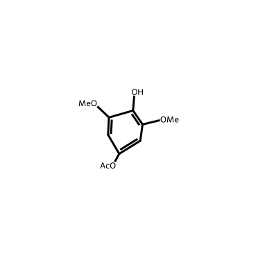 COc1cc(OC(C)=O)cc(OC)c1O